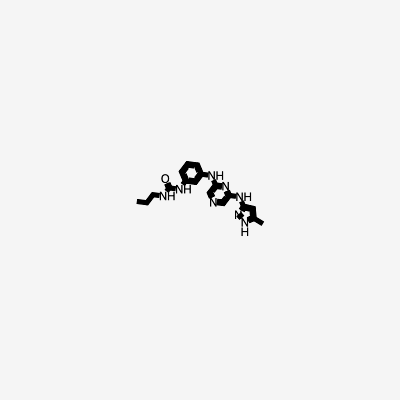 CCCNC(=O)Nc1cccc(Nc2cncc(Nc3cc(C)[nH]n3)n2)c1